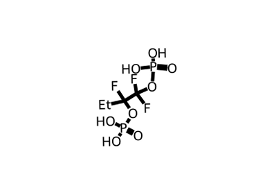 CCC(F)(OP(=O)(O)O)C(F)(F)OP(=O)(O)O